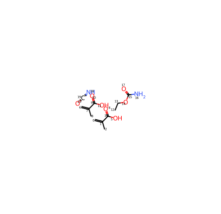 C=C(C)C(=O)O.C=C(C)C(=O)O.CCOC(N)=O.N=C=O